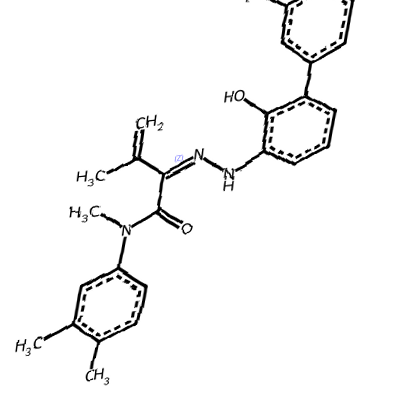 C=C(C)/C(=N/Nc1cccc(-c2cccc(C(=O)O)c2)c1O)C(=O)N(C)c1ccc(C)c(C)c1